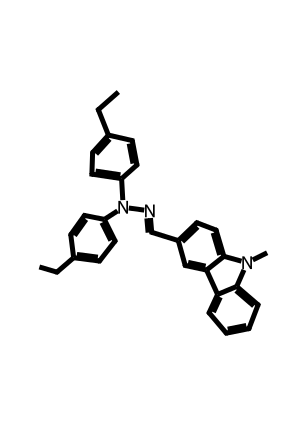 CCc1ccc(N(/N=C/c2ccc3c(c2)c2ccccc2n3C)c2ccc(CC)cc2)cc1